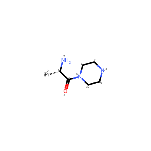 CC(C)[C@H](N)C(=O)N1CC[N]CC1